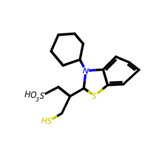 O=S(=O)(O)CC(CS)C1Sc2ccccc2N1C1CCCCC1